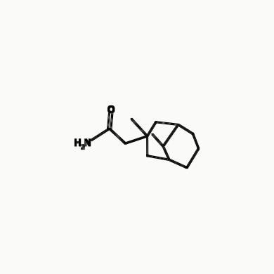 CC1C2CCCC1CC(C)(CC(N)=O)C2